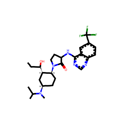 CCC(O)[C@H]1C[C@H](N(C)C(C)C)CC[C@@H]1N1CCC(Nc2ncnc3ccc(C(F)(F)F)cc23)C1=O